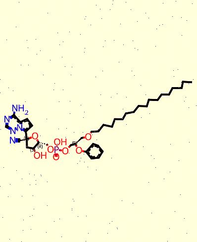 CCCCCCCCCCCCCCCCCCOC[C@H](COP(=O)(O)OC[C@H]1O[C@@](C#N)(c2ccc3c(N)ncnn23)C[C@@H]1O)Oc1ccccc1